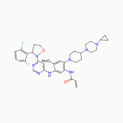 C=CC(=O)Nc1cc(Nc2cc(N3OCCC3c3c(F)cccc3F)ncn2)c(OC)cc1N1CCC(N2CCN(C3CC3)CC2)CC1